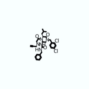 C#CCN1CC(=O)N2[C@@H](CC(C)C)C(=O)N(Cc3ccc(Cl)cc3Cl)C[C@@H]2N1C(=O)NCc1ccccc1